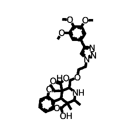 CCC1(C(=O)O)C(COCCn2cc(-c3cc(OC)c(OC)c(OC)c3)nn2)NC(C)C(C)(C(=O)O)C1c1ccccc1Cl